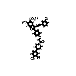 O=C(O)c1cc2c(C#Cc3cccc(Cl)c3)c(-c3ccc(OCC(=O)N4CCC(c5ccc(Cl)c(Cl)c5)CC4)cc3)oc2cc1O